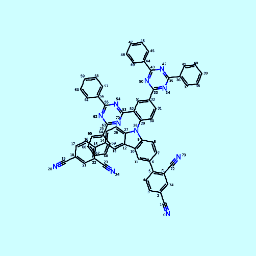 N#Cc1ccc(-c2ccc3c(c2)c2cc(-c4ccc(C#N)cc4C#N)ccc2n3-c2ccc(-c3nc(-c4ccccc4)nc(-c4ccccc4)n3)cc2-c2nc(-c3ccccc3)nc(-c3ccccc3)n2)c(C#N)c1